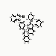 CCc1nc2ccccc2n1-c1ccc(-c2nc3ccccc3c3ccc4c(nc(-c5ccccc5)n4-c4ccccc4)c23)cc1